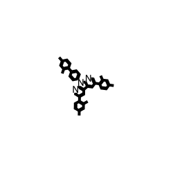 Cc1ccc(-c2ccc(-n3c4ncc(-c5ccc(C)cc5C)cc4c4cc(-c5ccc(C)cc5C)cnc43)cc2)c(C)c1